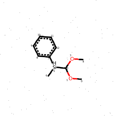 COC(OC)[SiH](C)c1ccccc1